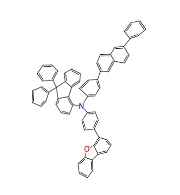 c1ccc(-c2ccc3cc(-c4ccc(N(c5ccc(-c6cccc7c6oc6ccccc67)cc5)c5cccc6c5-c5ccccc5C6(c5ccccc5)c5ccccc5)cc4)ccc3c2)cc1